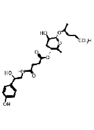 CC(CCC(=O)O)O[C@@H]1OC(C)[C@H](OC(=O)CCC(=O)NC[C@H](O)c2ccc(O)cc2)CC1O